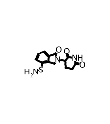 NSc1cccc2c1CN(C1CCC(=O)NC1=O)C2=O